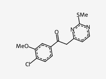 COc1cc(C(=O)Cc2ccnc(SC)n2)ccc1Cl